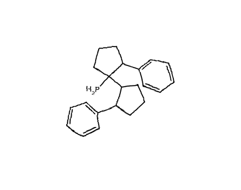 PC1(C2CCCC2c2ccccc2)CCCC1c1ccccc1